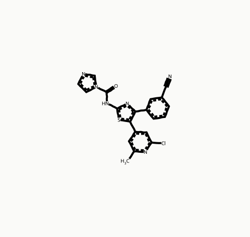 Cc1cc(-c2sc(NC(=O)n3ccnc3)nc2-c2cccc(C#N)c2)cc(Cl)n1